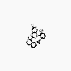 Cc1cccc(C2CC2)c1Oc1nnc(Cl)cc1OC(=O)C1NCCc2ccccc21